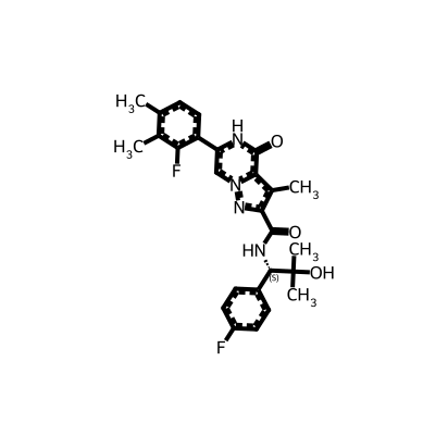 Cc1ccc(-c2cn3nc(C(=O)N[C@@H](c4ccc(F)cc4)C(C)(C)O)c(C)c3c(=O)[nH]2)c(F)c1C